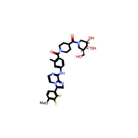 COc1ccc(-c2cnc3c(Nc4ccc(C(=O)N5CCC(C(=O)N6C[C@H](CO)[C@@H](O)[C@H](O)C6)CC5)c(C)c4)nccn23)c(F)c1F